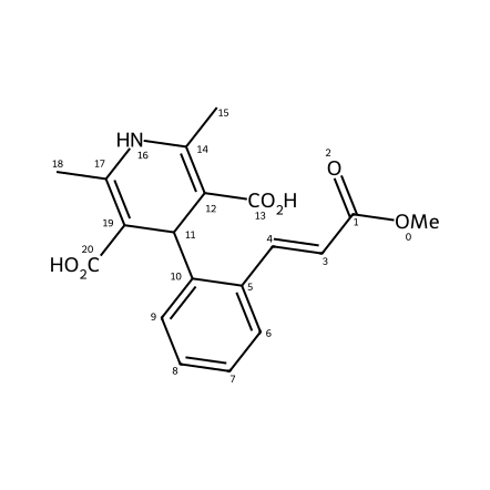 COC(=O)C=Cc1ccccc1C1C(C(=O)O)=C(C)NC(C)=C1C(=O)O